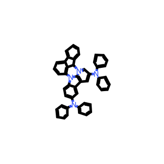 c1ccc(N(c2ccccc2)c2ccc3c(c2)c2cc(N(c4ccccc4)c4ccccc4)c[n+]4c2n3-c2cccc3c2C4c2ccccc2-3)cc1